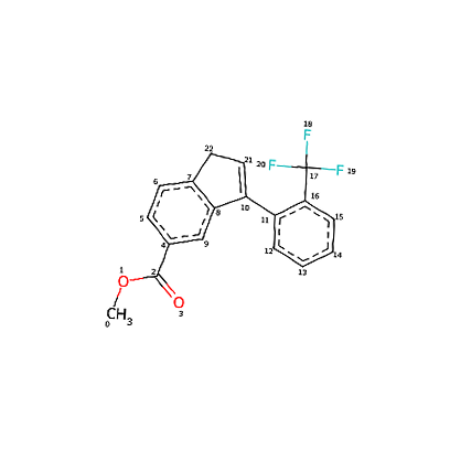 COC(=O)c1ccc2c(c1)C(c1ccccc1C(F)(F)F)=CC2